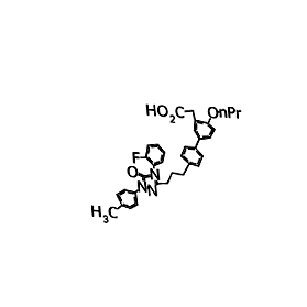 CCCOc1ccc(-c2ccc(CCCc3nn(-c4ccc(C)cc4)c(=O)n3-c3ccccc3F)cc2)cc1CC(=O)O